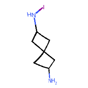 NC1CC2(C1)CC(NI)C2